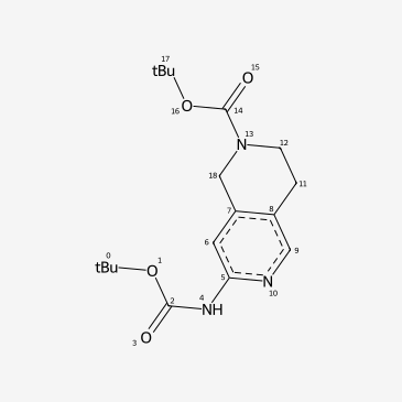 CC(C)(C)OC(=O)Nc1cc2c(cn1)CCN(C(=O)OC(C)(C)C)C2